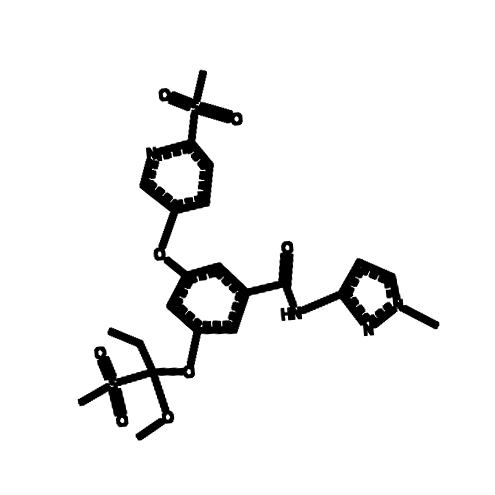 CCC(OC)(Oc1cc(Oc2ccc(S(C)(=O)=O)nc2)cc(C(=O)Nc2ccn(C)n2)c1)S(C)(=O)=O